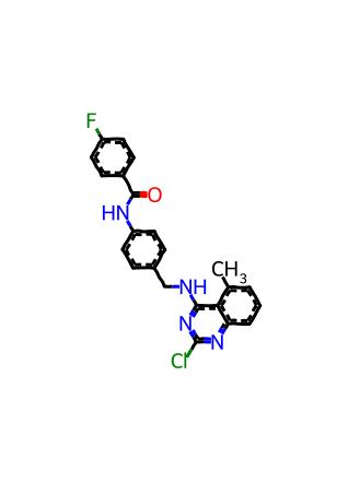 Cc1cccc2nc(Cl)nc(NCc3ccc(NC(=O)c4ccc(F)cc4)cc3)c12